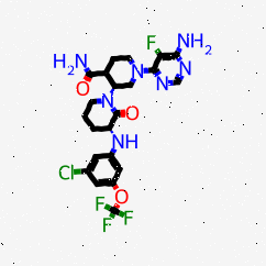 NC(=O)C1CCN(c2ncnc(N)c2F)C[C@H]1N1CCC[C@@H](Nc2cc(Cl)cc(OC(F)(F)F)c2)C1=O